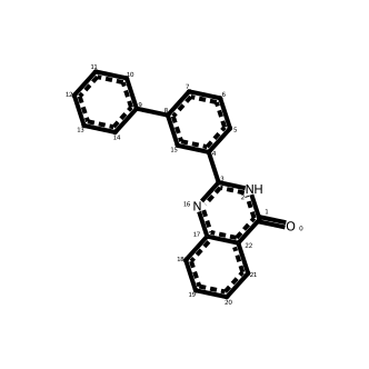 O=c1[nH]c(-c2cccc(-c3ccccc3)c2)nc2ccccc12